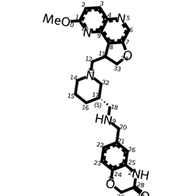 COc1ccc2ncc3c(c2n1)C(CN1CCC[C@@H](CNCc2ccc4c(c2)NC(=O)CO4)C1)CO3